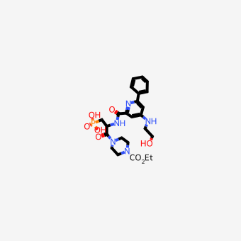 CCOC(=O)N1CCN(C(=O)C(CP(=O)(O)O)NC(=O)c2cc(NCCO)cc(-c3ccccc3)n2)CC1